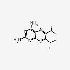 CC(C)c1nc2nc(N)nc(N)c2nc1C(C)C